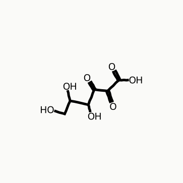 O=C(O)C(=O)C(=O)C(O)C(O)CO